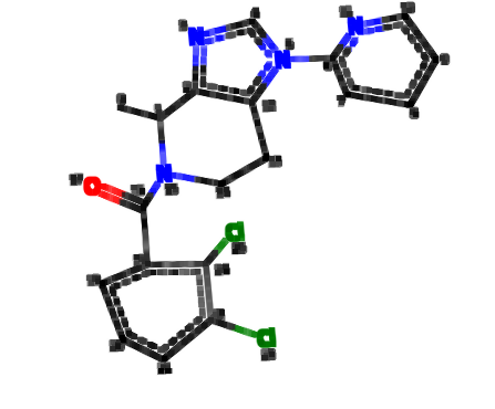 CC1c2ncn(-c3ccccn3)c2CCN1C(=O)c1cccc(Cl)c1Cl